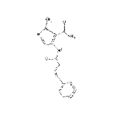 Cn1ncc(NC(=O)/C=N/C2=CC=C=C=C2)c1C(N)=O